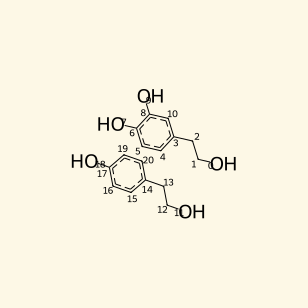 OCCc1ccc(O)c(O)c1.OCCc1ccc(O)cc1